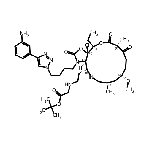 CC[C@H]1OC(=O)[C@H](C)C(=O)CC[C@H](OC)C[C@@H](C)CN[C@H](CCNCC(=O)OC(C)(C)C)[C@H]2N(CCCCn3cc(-c4cccc(N)c4)nn3)C(=O)O[C@]12C